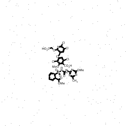 COC(=O)c1ccccc1S(=O)(=O)NC(=O)Nc1nc(C)nc(OC)n1.COc1c(Cl)ccc(Cl)c1C(=O)O.O=C(O)COc1nc(Cl)c(Cl)cc1Cl